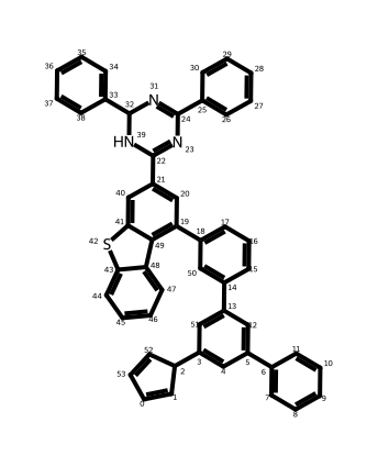 C1=CC(c2cc(-c3ccccc3)cc(-c3cccc(-c4cc(C5=NC(c6ccccc6)=NC(c6ccccc6)N5)cc5sc6ccccc6c45)c3)c2)C=C1